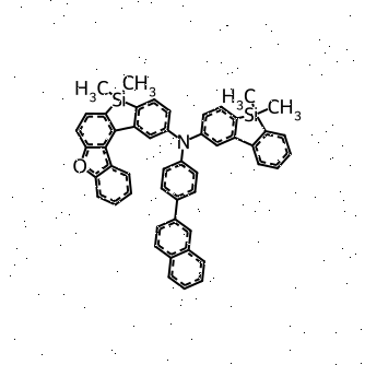 C[Si]1(C)c2ccccc2-c2cc(N(c3ccc(-c4ccc5ccccc5c4)cc3)c3ccc4c(c3)-c3c(ccc5oc6ccccc6c35)[Si]4(C)C)ccc21